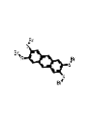 BrSc1cc2cc3cc(SBr)c(SBr)cc3cc2cc1SBr